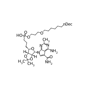 CCCCCCCCCCCCCCCCOCCCOP(=O)(O)CCC[C@H]1O[C@@H](n2cc(C(N)=O)c3c(N)nc(C)nc32)[C@@H]2OC(C)(C)O[C@@H]21